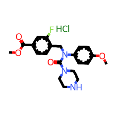 COC(=O)c1ccc(CN(C(=O)N2CCNCC2)c2ccc(OC)cc2)c(F)c1.Cl